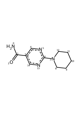 NC(=O)c1cnc(N2CCCCC2)nc1